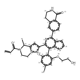 C=CC(=O)N1CCn2nc(-c3nc(-c4ccc5c(c4)CCNC5=O)c4ccsc4c3-c3c(F)cc(F)cc3OCCO)cc2C1C